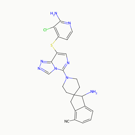 N#Cc1cccc2c1CC1(CCN(c3ncc(Sc4ccnc(N)c4Cl)c4nncn34)CC1)C2N